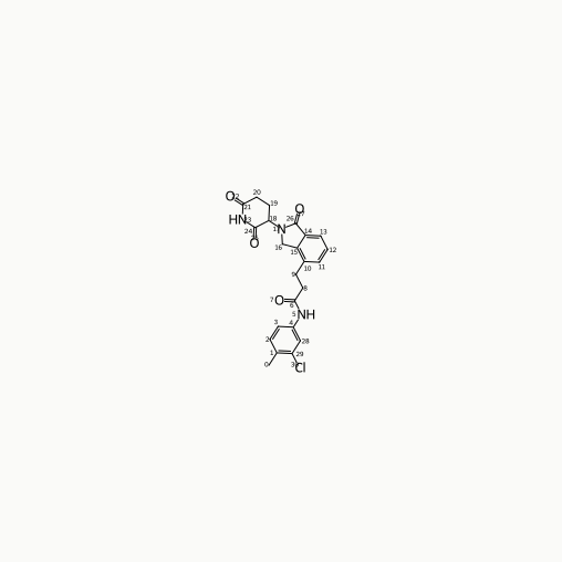 Cc1ccc(NC(=O)CCc2cccc3c2CN(C2CCC(=O)NC2=O)C3=O)cc1Cl